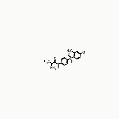 Cc1cc(Cl)ccc1S(=O)(=O)c1ccc(NC(=O)C(C)N)cc1